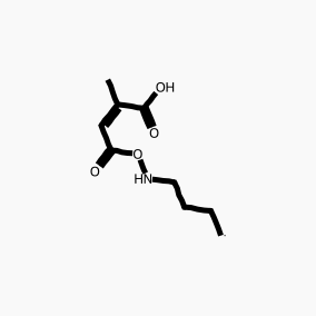 [CH2]CCCNOC(=O)/C=C(/C)C(=O)O